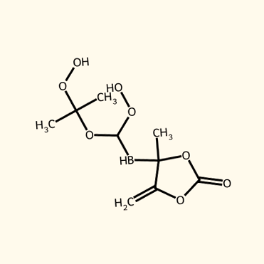 C=C1OC(=O)OC1(C)BC(OO)OC(C)(C)OO